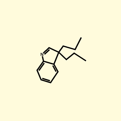 CCCC1(CCC)C=Nc2ccccc21